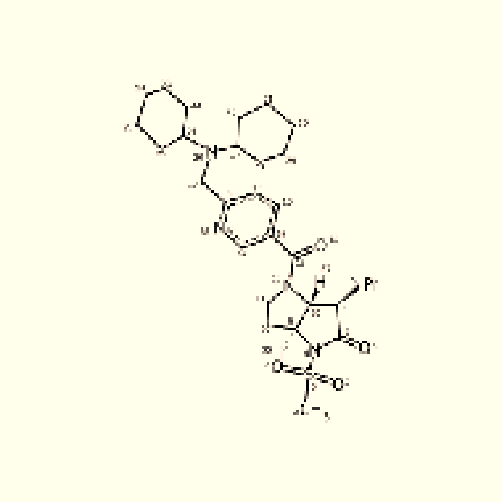 CC(C)[C@H]1C(=O)N(S(C)(=O)=O)[C@H]2CCN(C(=O)c3ccc(CN(C4CCCCC4)C4CCCCC4)nc3)[C@H]12